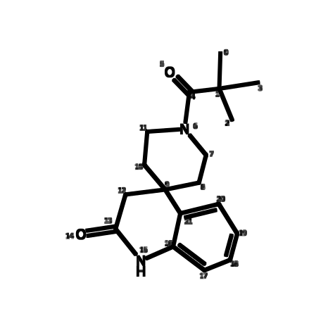 CC(C)(C)C(=O)N1CCC2(CC1)CC(=O)Nc1ccccc12